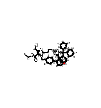 CCCc1nc(CCl)c(C(=O)OCC)n1Cc1ccc(-c2ccccc2-c2nnnn2C(c2ccccc2)(c2ccccc2)c2ccccc2)cc1